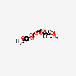 CCC(CCC(C)(C)O)C1OCC(COCC2COC(C3CCC4(C)OC4C3)O2)O1